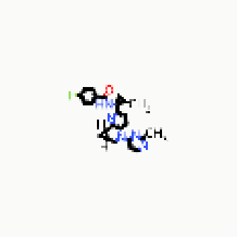 Cc1nccc(N2C[C@@H]3C[C@@H]3c3nc([C@@]4(NC(=O)c5ccc(F)cc5)C[C@H]4C)ccc32)n1